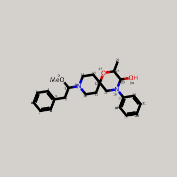 COC(Cc1ccccc1)N1CCC2(CC1)CN(c1ccccc1)C(O)C(C)O2